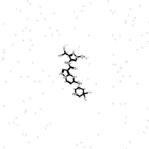 Cn1cc(NC(=O)c2cnn3ccc(N[C@H]4CNCC(F)(F)C4)nc23)c(C(F)F)n1